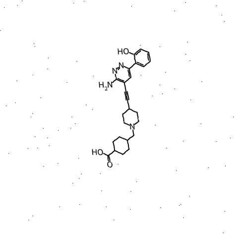 Nc1nnc(-c2ccccc2O)cc1C#CC1CCN(CC2CCC(C(=O)O)CC2)CC1